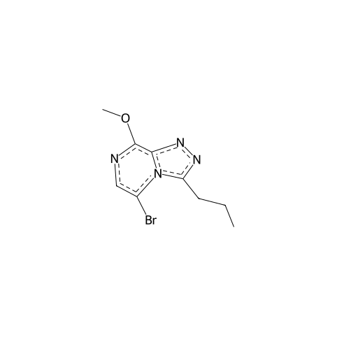 CCCc1nnc2c(OC)ncc(Br)n12